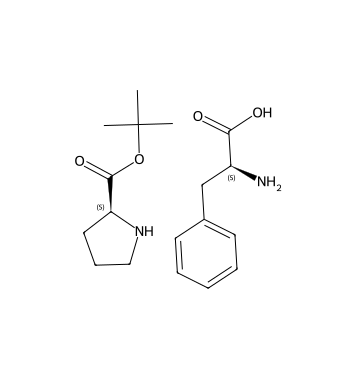 CC(C)(C)OC(=O)[C@@H]1CCCN1.N[C@@H](Cc1ccccc1)C(=O)O